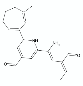 C/C=C(C=O)\C=C(/N)C1=CC(C=O)=CC(C2=CCCCC(C)=C2)N1